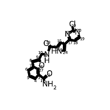 NC(=O)c1cccc2cc(CNC(=O)c3cc(-c4ccnc(Cl)n4)c[nH]3)oc12